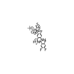 CC(C)(C)OC(=O)N(c1cscn1)S(=O)(=O)c1cc(Cl)c(N[C@@H](N)c2cc(F)c(F)cc2F)cc1F